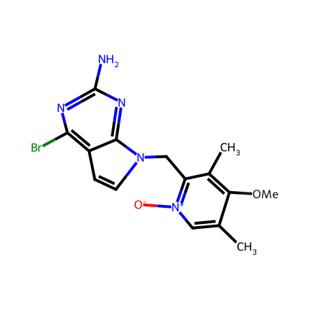 COc1c(C)c[n+]([O-])c(Cn2ccc3c(Br)nc(N)nc32)c1C